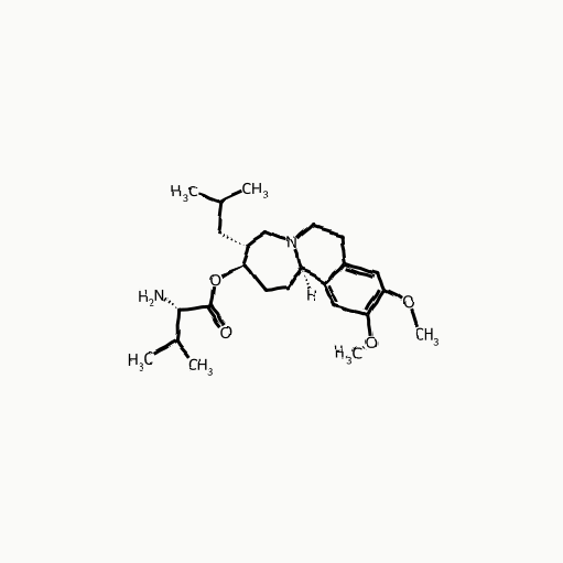 COc1cc2c(cc1OC)[C@H]1CC[C@@H](OC(=O)[C@@H](N)C(C)C)[C@H](CC(C)C)CN1CC2